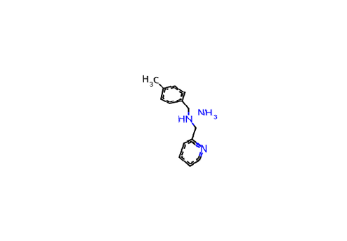 Cc1ccc(CNCc2ccccn2)cc1.N